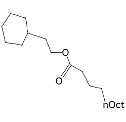 [CH2]CCCCCCCCCCC(=O)OCCC1CCCCC1